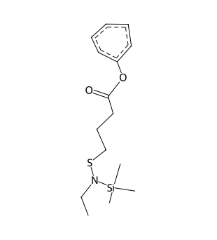 CCN(SCCCC(=O)Oc1ccccc1)[Si](C)(C)C